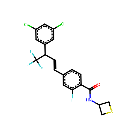 O=C(NC1CSC1)c1ccc(/C=C/C(c2cc(Cl)cc(Cl)c2)C(F)(F)F)cc1F